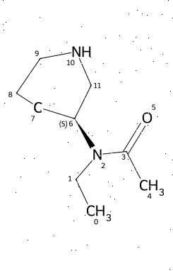 CCN(C(C)=O)[C@H]1CCCNC1